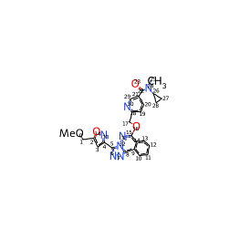 COCc1cc(-c2nnc3c4ccccc4c(OCc4ccc(C(=O)N(C)C5CC5)cn4)nn23)no1